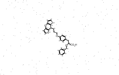 O=C(O)C(Cc1ccc(OCCCN2c3sccc3Oc3ccsc32)cc1)OCc1ccccc1